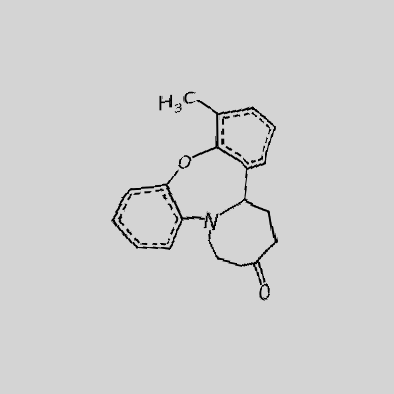 Cc1cccc2c1Oc1ccccc1N1CC(=O)CCC21